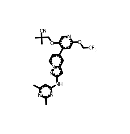 Cc1cc(Nc2cc3cc(-c4cc(OCC(F)(F)F)ncc4OCC(C)(C)C#N)ccn3n2)nc(C)n1